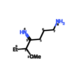 CCC(OC)C(=N)CCCN